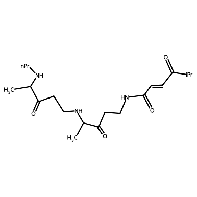 CCCNC(C)C(=O)CCNC(C)C(=O)CCNC(=O)/C=C/C(=O)C(C)C